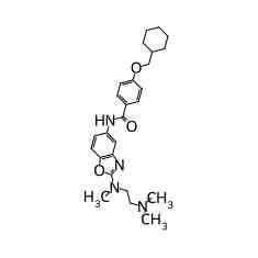 CN(C)CCN(C)c1nc2cc(NC(=O)c3ccc(OCC4CCCCC4)cc3)ccc2o1